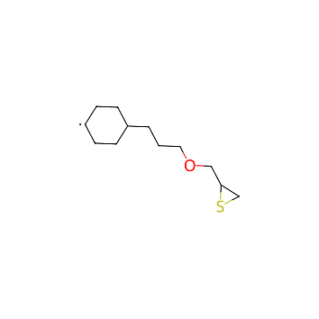 [CH]1CCC(CCCOCC2CS2)CC1